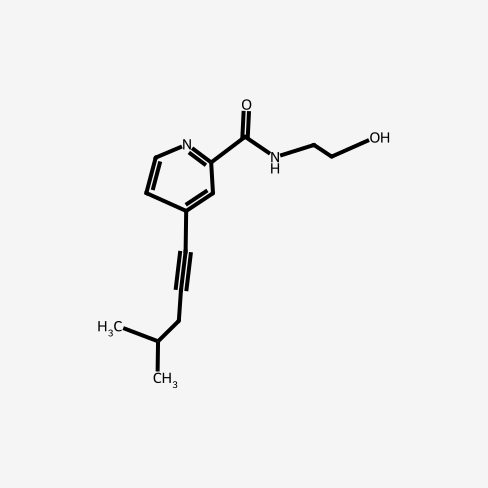 CC(C)CC#Cc1ccnc(C(=O)NCCO)c1